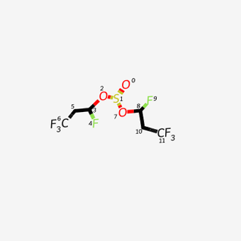 O=S(OC(F)CC(F)(F)F)OC(F)CC(F)(F)F